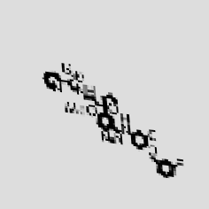 COc1cc2ncnc(Nc3ccc(OCc4cccc(F)c4)c(Cl)c3)c2cc1C1(CCCNCC(c2ccccn2)=S(=O)=O)CC=CO1